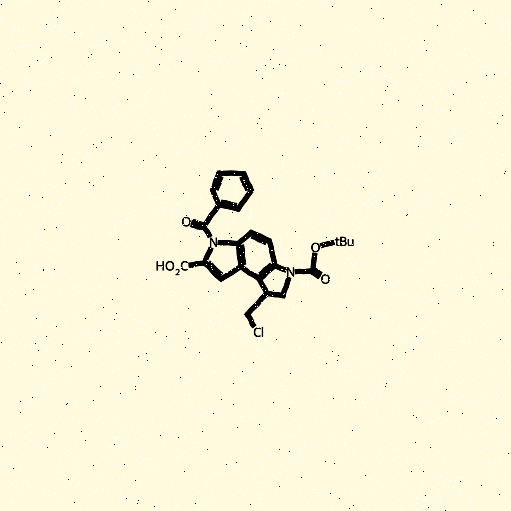 CC(C)(C)OC(=O)N1CC(CCl)c2c1ccc1c2cc(C(=O)O)n1C(=O)c1ccccc1